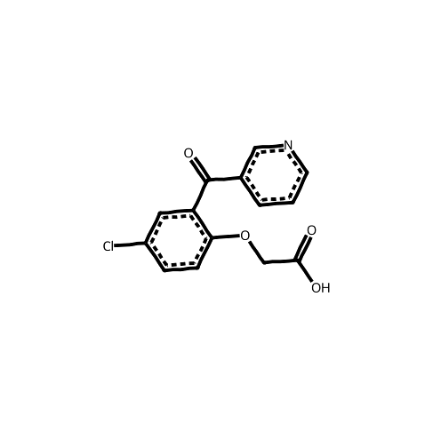 O=C(O)COc1ccc(Cl)cc1C(=O)c1cccnc1